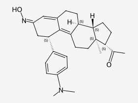 CC(=O)[C@H]1CC[C@H]2[C@@H]3CCC4=CC(=NO)C[C@@H](c5ccc(N(C)C)cc5)C4=C3CC[C@]12C